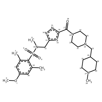 COc1cc(C)c(S(=O)(=O)N(C)Cc2nnc(C(=O)N3CCN(CC4CCN(C)CC4)CC3)s2)c(C)c1